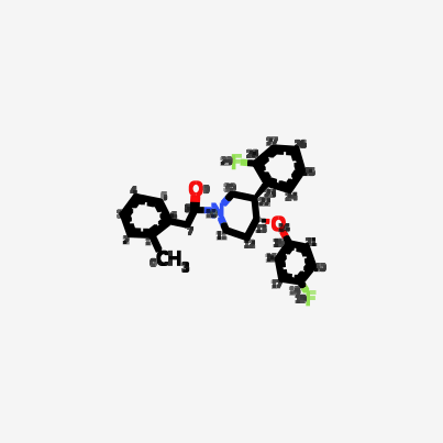 Cc1ccccc1CC(=O)N1CC[C@@H](Oc2ccc(F)cc2)[C@H](c2ccccc2F)C1